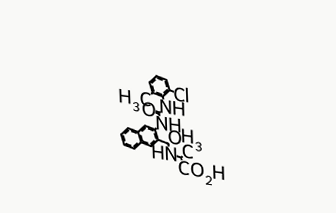 Cc1cccc(Cl)c1NC(=O)Nc1cc2ccccc2cc1C(=O)N[C@@H](C)C(=O)O